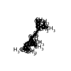 COc1ccc(C2c3cc(OC)c(OC)cc3CC[N+]2(C)CCCOC(=O)/C=C/C(=O)OCCC[N+]2(C)CCc3cc(OC)c(OC)c(OC)c3C2Cc2cc(OC)c(OC)c(OC)c2)cc1OC